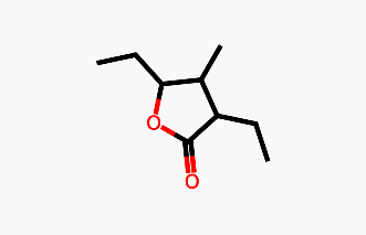 CCC1OC(=O)C(CC)C1C